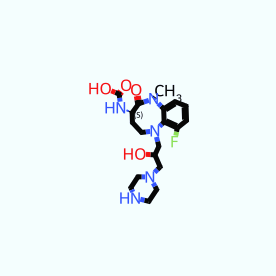 CN1C(=O)[C@@H](NC(=O)O)CCN(CC(O)CN2CCNCC2)c2c(F)cccc21